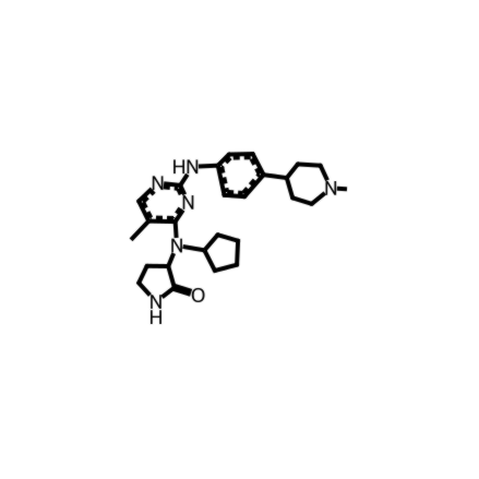 Cc1cnc(Nc2ccc(C3CCN(C)CC3)cc2)nc1N(C1CCCC1)C1CCNC1=O